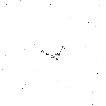 [Co].[Mn][Fe].[Ni].[Ti].[W]